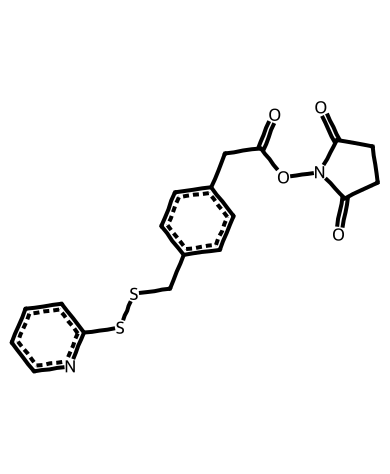 O=C(Cc1ccc(CSSc2ccccn2)cc1)ON1C(=O)CCC1=O